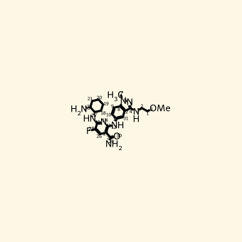 COCCNc1nn(C)c2ccc(Nc3nc(N[C@@H]4CCCC[C@@H]4N)c(F)cc3C(N)=O)cc12